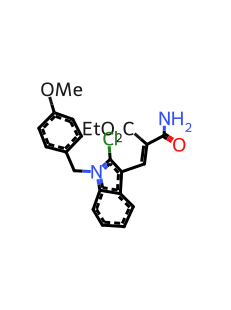 CCOC(=O)C(=Cc1c(Cl)n(Cc2ccc(OC)cc2)c2ccccc12)C(N)=O